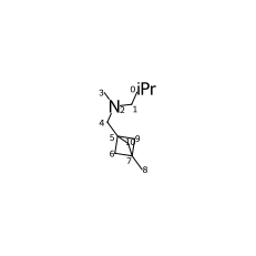 CC(C)CN(C)CC12CC(C)(C1)C2